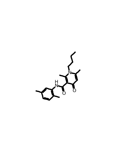 CCCCn1c(C)cc(=O)c(C(=O)Nc2cc(C)ccc2C)c1C